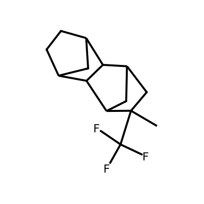 CC1(C(F)(F)F)CC2CC1C1C3CCC(C3)C21